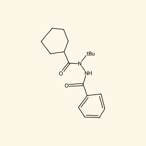 CC(C)(C)N(NC(=O)c1ccccc1)C(=O)C1CCCCC1